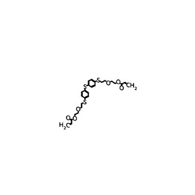 C=CC(=O)OCCOCCSc1ccc(Sc2ccc(SCCOCCOC(=O)C=C)cc2)cc1